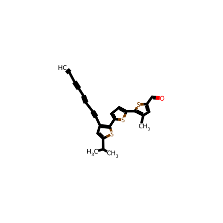 C#CC#CC#CC#Cc1cc(C(C)C)sc1-c1ccc(-c2sc(C=O)cc2C)s1